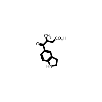 CC(CC(=O)O)C(=O)c1ccc2c(c1)CCN2